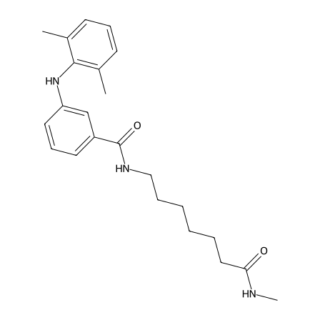 CNC(=O)CCCCCCNC(=O)c1cccc(Nc2c(C)cccc2C)c1